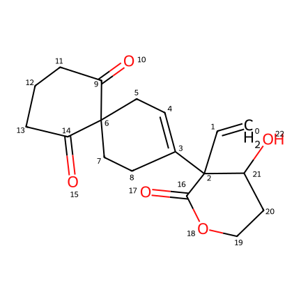 C=CC1(C2=CCC3(CC2)C(=O)CCCC3=O)C(=O)OCCC1O